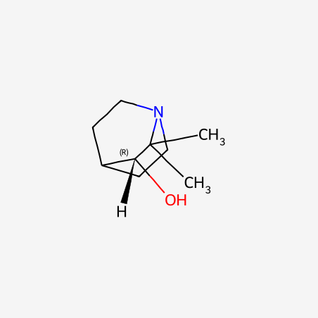 CC1(C)[C@H](O)C2CCN1CC2